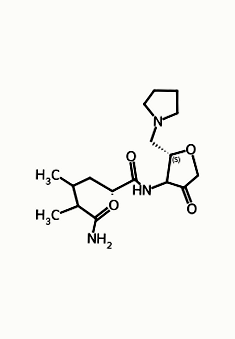 CC(C[CH]C(=O)NC1C(=O)CO[C@H]1CN1CCCC1)C(C)C(N)=O